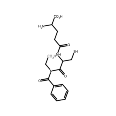 NC(CCC(=O)NC(CS)C(=O)N(CC(=O)O)C(=O)c1ccccc1)C(=O)O